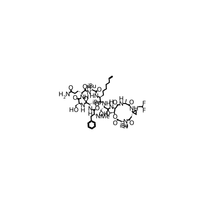 C=CCCCCC[C@H](NC(=O)[C@H](NC(=O)[C@@H](CCC(N)=O)NC(=O)[C@H](CO)NC(=O)[C@@H](NC(=O)[C@@H](Cc1ccccc1)NC)[C@@H](C)CC)[C@@H](C)CC)C(=O)N[C@@H](CO)C(=O)N[C@H]1C(=O)N[C@@H](C)C(=O)N[C@]2(CC(=O)N[C@@H]([C@@H](C)CC)C(=O)O[C@H]1C)C[C@H]2CC(F)F